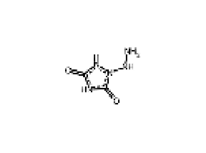 NNn1[nH]c(=O)[nH]c1=O